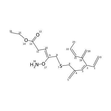 C=C/C(=C/C(=C)CSC/C(=C/CC(=O)OCC)ON)C(=C)/C=C\C